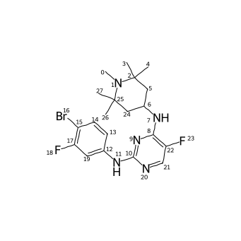 CN1C(C)(C)CC(Nc2nc(Nc3ccc(Br)c(F)c3)ncc2F)CC1(C)C